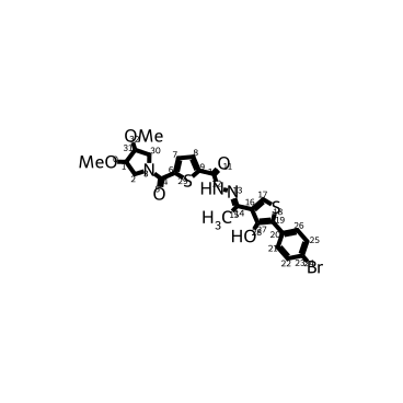 COC1CN(C(=O)c2ccc(C(=O)N/N=C(\C)c3csc(-c4ccc(Br)cc4)c3O)s2)CC1OC